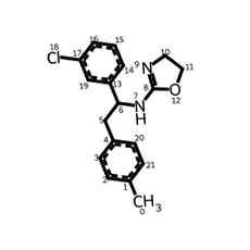 Cc1ccc(CC(NC2=NCCO2)c2cccc(Cl)c2)cc1